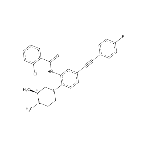 C[C@H]1CN(c2ccc(C#Cc3ccc(F)cc3)cc2NC(=O)c2ccccc2Cl)CCN1C